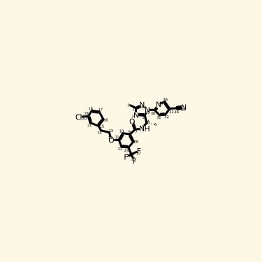 Cc1nc([C@H](C)NC(=O)c2cc(OCCc3cccc(Cl)c3)cc(C(F)(F)F)c2)n(-c2ccc(C#N)cn2)n1